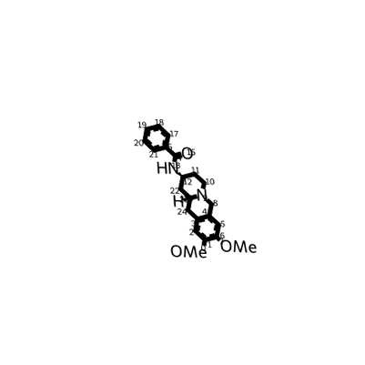 COc1cc2c(cc1OC)CN1CC[C@H](NC(=O)c3ccccc3)C[C@H]1C2